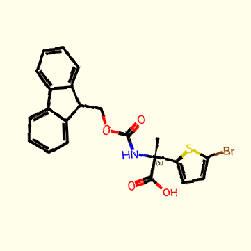 C[C@](NC(=O)OCC1c2ccccc2-c2ccccc21)(C(=O)O)c1ccc(Br)s1